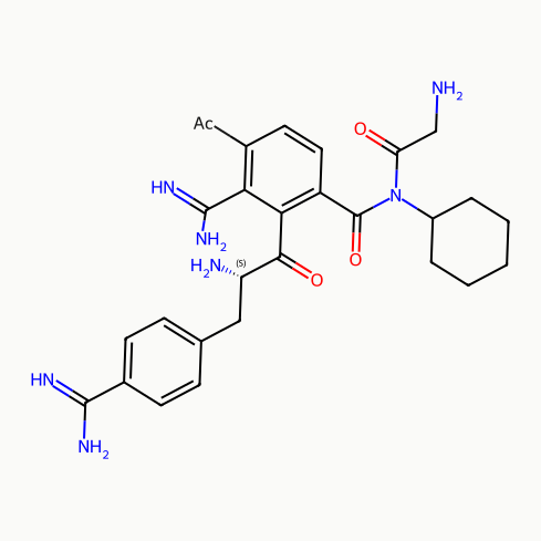 CC(=O)c1ccc(C(=O)N(C(=O)CN)C2CCCCC2)c(C(=O)[C@@H](N)Cc2ccc(C(=N)N)cc2)c1C(=N)N